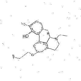 CCN1CCc2cc(OCCF)cc3c2[C@H]1Cc1ccc(O)c(O)c1-3